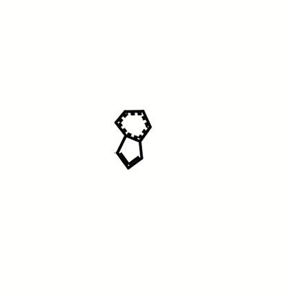 [C]1=C=Cc2ccccc21